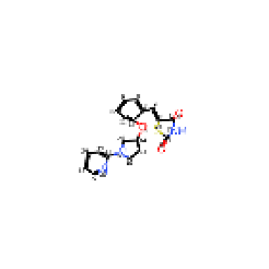 O=C1NC(=O)C(=Cc2ccccc2OC2CCN(c3ccccn3)C2)S1